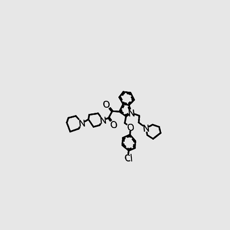 O=C(C(=O)N1CCC(N2CCCCC2)CC1)c1c(COc2ccc(Cl)cc2)n(CCN2CCCCC2)c2ccccc12